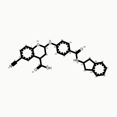 N#Cc1ccc2c(c1)C(C(=O)O)CC(Oc1ccc(C(=O)NC3Cc4ccccc4C3)cc1)O2